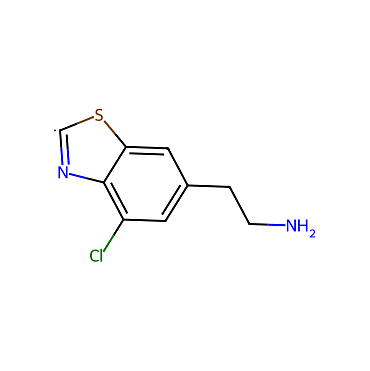 NCCc1cc(Cl)c2n[c]sc2c1